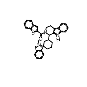 CN(I)[C@@]1(c2ccccc2)CCCC(C2c3[nH]c4ccccc4c3CCN2C(=O)c2cc3ccccc3s2)C1